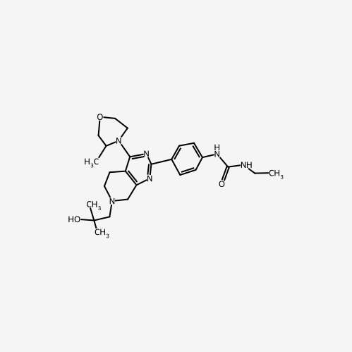 CCNC(=O)Nc1ccc(-c2nc3c(c(N4CCOCC4C)n2)CCN(CC(C)(C)O)C3)cc1